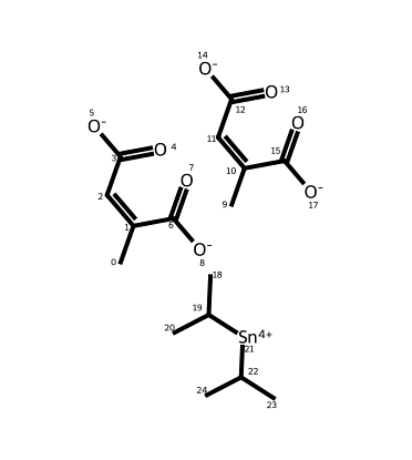 C/C(=C/C(=O)[O-])C(=O)[O-].C/C(=C/C(=O)[O-])C(=O)[O-].C[CH](C)[Sn+4][CH](C)C